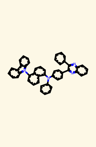 c1ccc(-c2nc3ccccc3nc2-c2ccc(N(c3ccccc3)c3cccc4c(-n5c6ccccc6c6ccccc65)cccc34)cc2)cc1